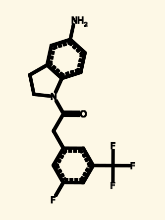 Nc1ccc2c(c1)CCN2C(=O)Cc1cc(F)cc(C(F)(F)F)c1